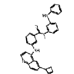 O=C(Nc1cccc(Nc2ccccc2)c1)c1cccc(Nc2ccnc3ccc(C45CC(C4)C5)cc23)c1